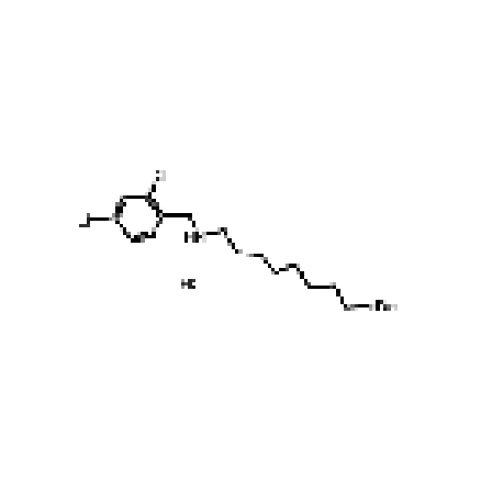 CCCCCCCCCCCCCCCCCCNCc1ccc(Cl)cc1Cl.Cl